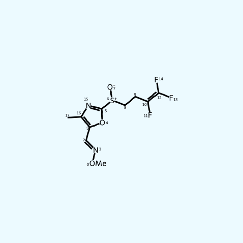 CO/N=C/c1oc([S+]([O-])CCC(F)=C(F)F)nc1C